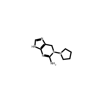 NC1=Nc2[nH]cnc2CN1N1CCCC1